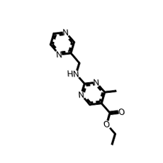 CCOC(=O)c1cnc(NCc2cnccn2)nc1C